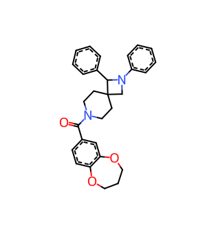 O=C(c1ccc2c(c1)OCCCO2)N1CCC2(CC1)CN(c1ccccc1)C2c1ccccc1